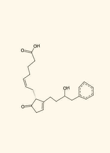 O=C(O)CCC/C=C\C[C@H]1C(=O)CC=C1CCC(O)Cc1ccccc1